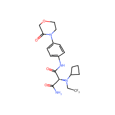 NC(=O)[C@@H](C(=O)Nc1ccc(N2CCOCC2=O)cc1)N(CC(F)(F)F)C1CCC1